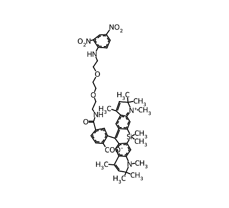 CC1=CC(C)(C)N(C)c2cc3c(cc21)C(c1cc(C(=O)NCCOCCOCCNc2ccc([N+](=O)[O-])cc2[N+](=O)[O-])ccc1C(=O)[O-])=c1cc2c(cc1[Si]3(C)C)=[N+](C)C(C)(C)C=C2C